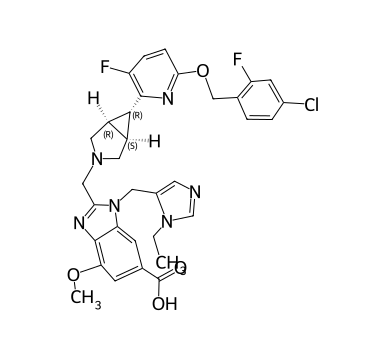 CCn1cncc1Cn1c(CN2C[C@@H]3[C@H](C2)[C@H]3c2nc(OCc3ccc(Cl)cc3F)ccc2F)nc2c(OC)cc(C(=O)O)cc21